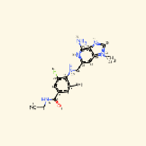 CCc1cc(C(=O)NCC#N)cc(F)c1NCc1cc2c(ncn2C)c(N)n1